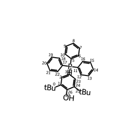 CC(C)(C)c1cc([PH](c2ccccc2)(c2ccccc2)c2ccccc2)cc(C(C)(C)C)c1O